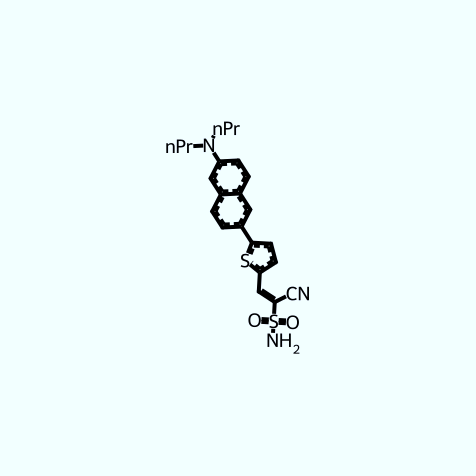 CCCN(CCC)c1ccc2cc(-c3ccc(/C=C(\C#N)S(N)(=O)=O)s3)ccc2c1